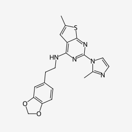 Cc1cc2c(NCCc3ccc4c(c3)OCO4)nc(-n3ccnc3C)nc2s1